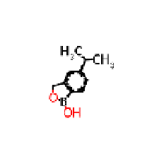 CC(C)c1ccc2c(c1)COB2O